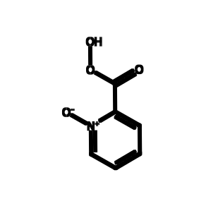 O=C(OO)c1cccc[n+]1[O-]